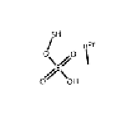 CCCC.O=S(=O)(O)OS